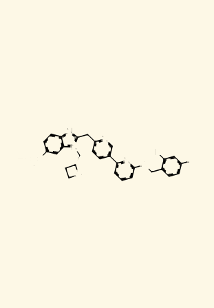 O=C(O)c1ccc2nc(Cc3ccc(-c4cccc(OCc5ccc(Cl)cc5F)n4)cn3)n(C[C@@H]3CCO3)c2c1